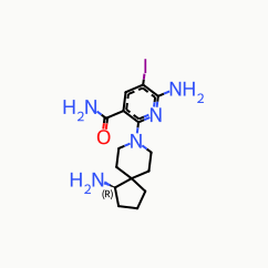 NC(=O)c1cc(I)c(N)nc1N1CCC2(CCC[C@H]2N)CC1